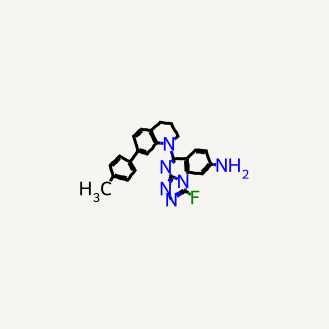 Cc1ccc(-c2ccc3c(c2)N(c2nc4nnc(F)n4c4cc(N)ccc24)CCC3)cc1